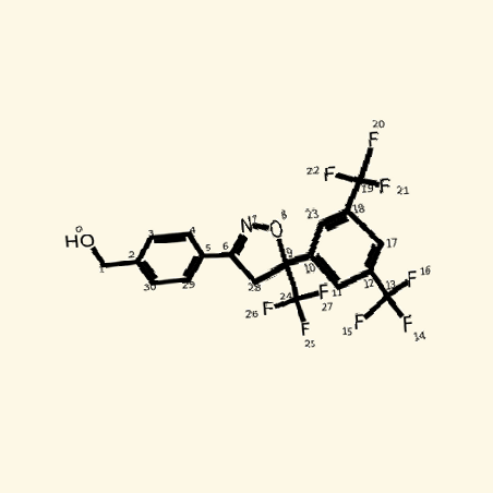 OCc1ccc(C2=NOC(c3cc(C(F)(F)F)cc(C(F)(F)F)c3)(C(F)(F)F)C2)cc1